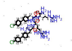 N=C(N)NCCC[C@H](NC(=O)[C@@H](Cc1ccc(-c2ccc(Cl)cc2)cc1)NC(=O)[C@H](CCCNC(=N)N)NC(=O)[C@@H](N)Cc1ccc(-c2ccc(Cl)cc2)cc1)C(N)=O